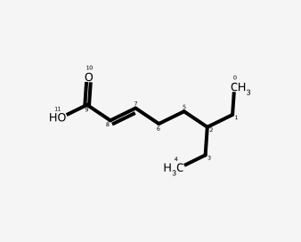 CCC(CC)CCC=CC(=O)O